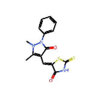 Cc1c(/C=C2\SC(=S)NC2=O)c(=O)n(-c2ccccc2)n1C